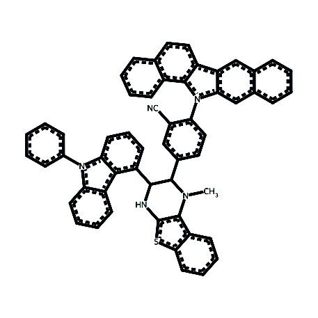 CN1c2c(sc3ccccc23)NC(c2cccc3c2c2ccccc2n3-c2ccccc2)C1c1ccc(-n2c3cc4ccccc4cc3c3ccc4ccccc4c32)c(C#N)c1